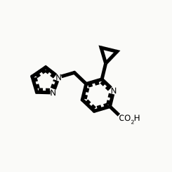 O=C(O)c1ccc(Cn2cccn2)c(C2CC2)n1